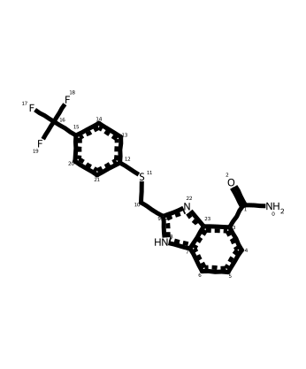 NC(=O)c1cccc2[nH]c(CSc3ccc(C(F)(F)F)cc3)nc12